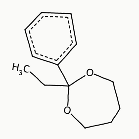 CCC1(c2ccccc2)OCCCCO1